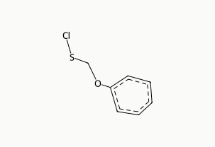 ClSCOc1ccccc1